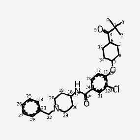 CC(C)(C)C(=O)C1CCC(Oc2ccc(C(=O)NC3CCN(Cc4ccccc4)CC3)cc2Cl)CC1